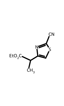 CCOC(=O)C(C)c1csc(C#N)n1